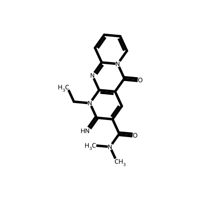 CCn1c(=N)c(C(=O)N(C)C)cc2c(=O)n3ccccc3nc21